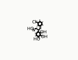 ON=CC(Cc1cccc(Cl)c1)c1ccc(O)c(O)c1O